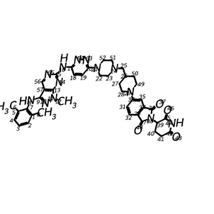 Cc1cccc(C)c1Nc1nn(C)c2nc(Nc3ccc(N4CCN(CC5CCN(c6ccc7c(c6)C(=O)N(C6CCC(=O)NC6=O)C7=O)CC5)CC4)nn3)ncc12